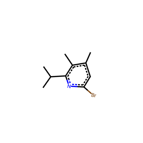 Cc1cc(Br)nc(C(C)C)c1C